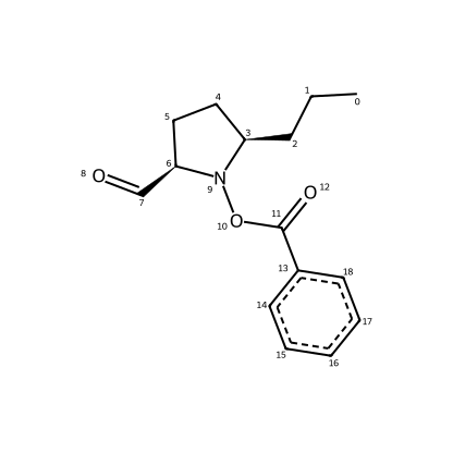 CCC[C@@H]1CC[C@H](C=O)N1OC(=O)c1ccccc1